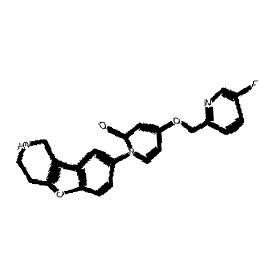 O=c1cc(OCc2ccc(F)cn2)ccn1-c1ccc2oc3c(c2c1)CNCC3